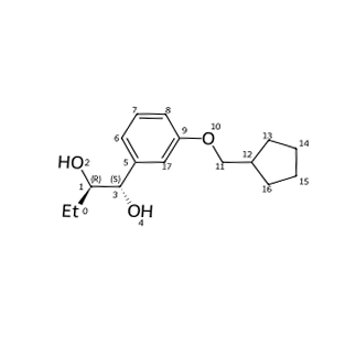 CC[C@@H](O)[C@@H](O)c1cccc(OCC2CCCC2)c1